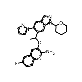 CC(Oc1cc2cc(F)ccc2nc1N)c1cc2c(cnn2C2CCCCO2)cc1-n1cccn1